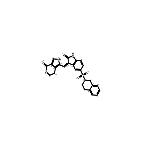 O=C1Nc2ccc(S(=O)(=O)N3CCc4ccccc4C3)cc2/C1=C/c1[nH]cc2c1CCOC2=O